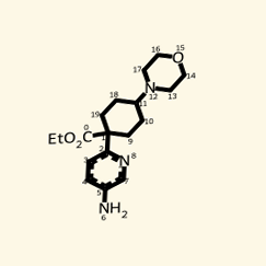 CCOC(=O)C1(c2ccc(N)cn2)CCC(N2CCOCC2)CC1